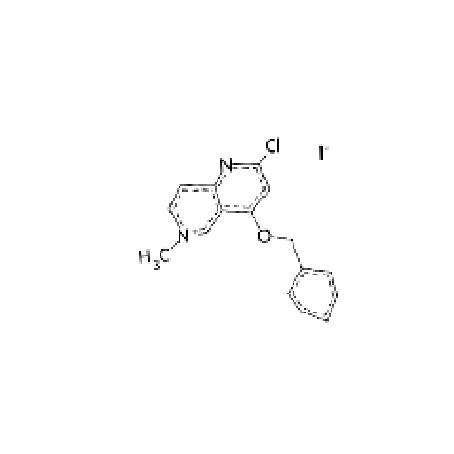 C[n+]1ccc2nc(Cl)cc(OCc3ccccc3)c2c1.[I-]